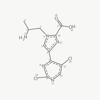 CC(N)Cn1cc(-c2nc(Cl)ncc2Cl)nc1C(=O)O